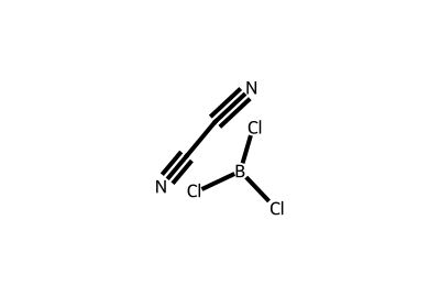 ClB(Cl)Cl.N#CC#N